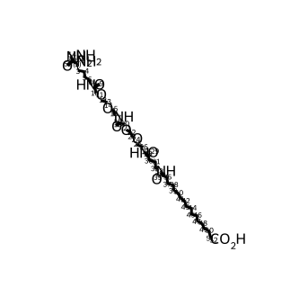 NN[C@@H](CCCCNC(=O)COCCOCCNC(=O)COCCOCCNC(=O)CCCNC(=O)CCCCCCCCCCCCCCCCC(=O)O)C(N)=O